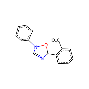 O=C(O)c1ccccc1C1N=CN(c2ccccc2)O1